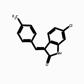 O=C1Nc2cc(Cl)ccc2/C1=C\c1ccc(C(F)(F)F)cc1